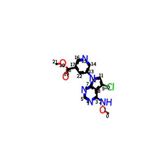 CONc1ncnc2c1c(Cl)cn2-c1cncc(C(=O)OC)c1